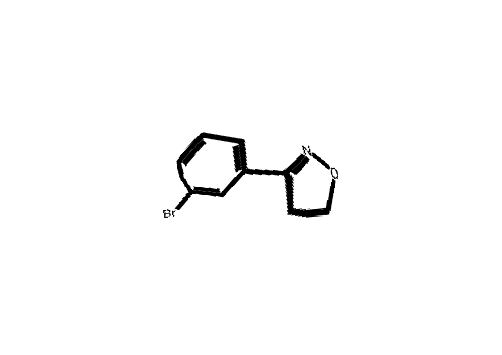 Brc1cccc(C2=NOCC2)c1